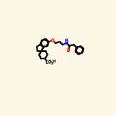 O=C(Cc1ccccc1)NCCCOc1ccc2c(c1)C1(CC2)CCC(C(=O)O)CC1